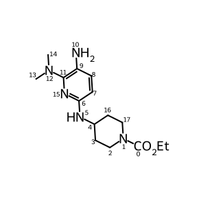 CCOC(=O)N1CCC(Nc2ccc(N)c(N(C)C)n2)CC1